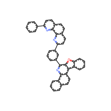 c1ccc(-c2ccc3ccc4ccc(-c5cccc(-c6nc7c8ccccc8ccc7c7c6oc6ccccc67)c5)nc4c3n2)cc1